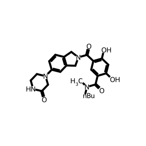 CCCCN(C)C(=O)c1cc(C(=O)N2Cc3ccc(N4CCNC(=O)C4)cc3C2)c(O)cc1O